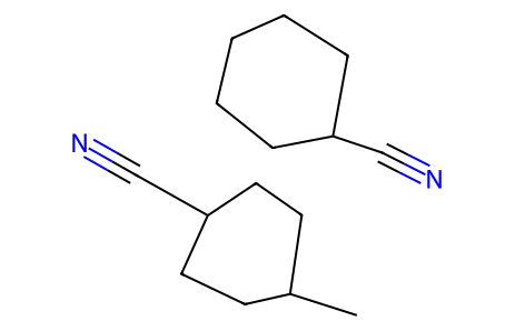 CC1CCC(C#N)CC1.N#CC1CCCCC1